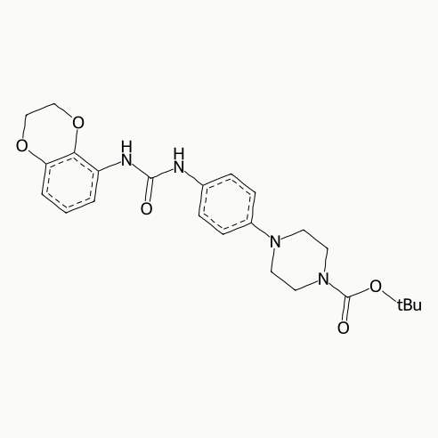 CC(C)(C)OC(=O)N1CCN(c2ccc(NC(=O)Nc3cccc4c3OCCO4)cc2)CC1